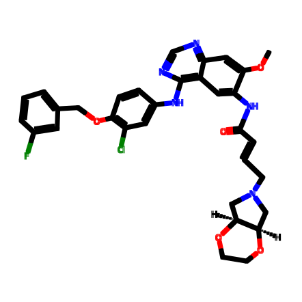 COc1cc2ncnc(Nc3ccc(OCc4cccc(F)c4)c(Cl)c3)c2cc1NC(=O)C=CCN1C[C@@H]2OCCO[C@@H]2C1